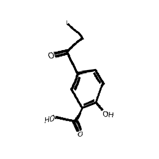 O=C(CI)c1ccc(O)c(C(=O)O)c1